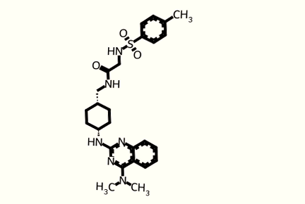 Cc1ccc(S(=O)(=O)NCC(=O)NC[C@H]2CC[C@@H](Nc3nc(N(C)C)c4ccccc4n3)CC2)cc1